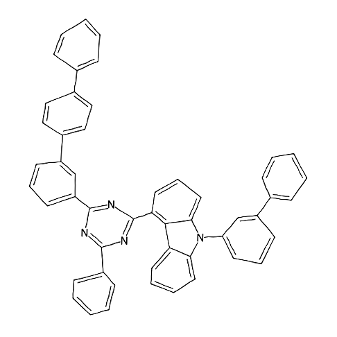 c1ccc(-c2ccc(-c3cccc(-c4nc(-c5ccccc5)nc(-c5cccc6c5c5ccccc5n6-c5cccc(-c6ccccc6)c5)n4)c3)cc2)cc1